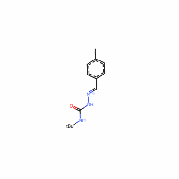 Cc1ccc(/C=N/NC(=O)NC(C)(C)C)cc1